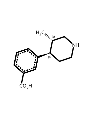 C[C@@H]1CNCC[C@H]1c1cccc(C(=O)O)c1